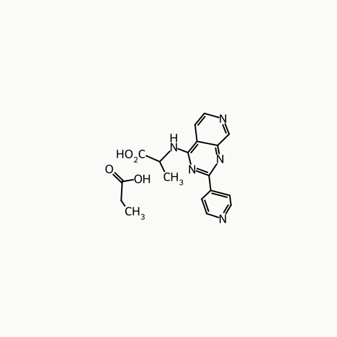 CC(Nc1nc(-c2ccncc2)nc2cnccc12)C(=O)O.CCC(=O)O